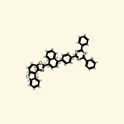 c1ccc(-c2nc(-c3ccccc3)nc(-c3ccc(-c4ccc(-c5nc6c(ccc7oc8ccccc8c76)o5)c5ccccc45)cc3)n2)cc1